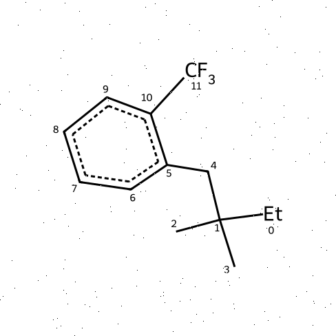 CCC(C)(C)Cc1ccccc1C(F)(F)F